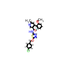 COc1cccc(F)c1-c1cc(C)ncc1C(=O)Nc1nnc(OCc2ccc(Cl)cc2)s1